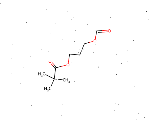 CC(C)(C)C(=O)OCCCO[C]=O